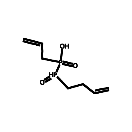 C=CCC[PH](=O)P(=O)(O)CC=C